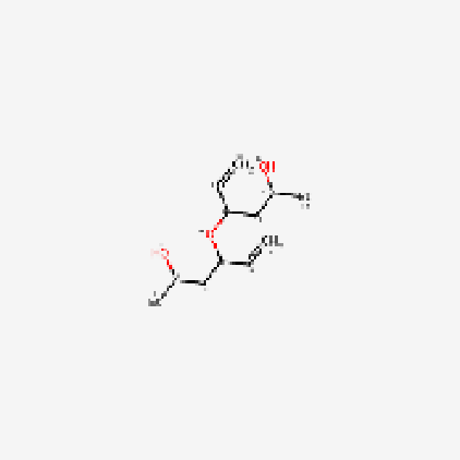 C=CC(CC(O)CC)OC(C=C)CC(O)CC